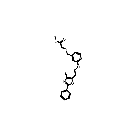 COC(=O)CSCc1cccc(OCCc2oc(-c3ccccc3)nc2C)c1